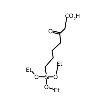 CCO[Si](CCCCC(=O)CC(=O)O)(OCC)OCC